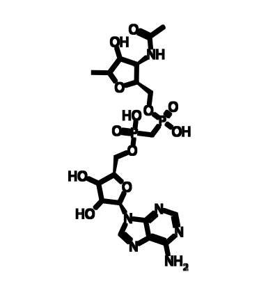 CC(=O)N[C@@H]1C(O)C(C)O[C@@H]1COP(=O)(O)CP(=O)(O)OC[C@H]1O[C@@H](n2cnc3c(N)ncnc32)C(O)C1O